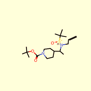 C=CCN(C(C)C1CCN(C(=O)OC(C)(C)C)CC1)[S@@+]([O-])C(C)(C)C